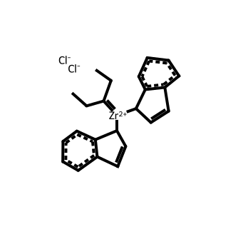 CC[C](CC)=[Zr+2]([CH]1C=Cc2ccccc21)[CH]1C=Cc2ccccc21.[Cl-].[Cl-]